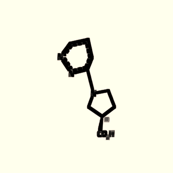 O=C(O)[C@@H]1CCN(c2cccnn2)C1